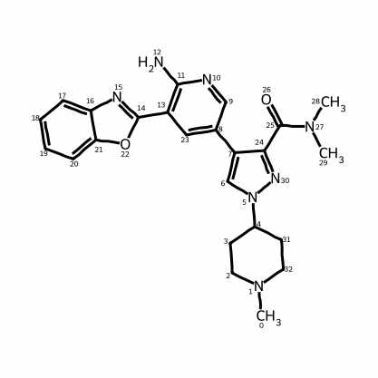 CN1CCC(n2cc(-c3cnc(N)c(-c4nc5ccccc5o4)c3)c(C(=O)N(C)C)n2)CC1